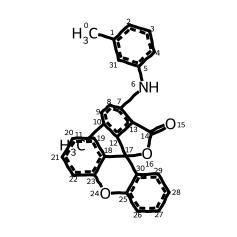 Cc1cccc(Nc2ccc(C)c3c2C(=O)OC32c3ccccc3Oc3ccccc32)c1